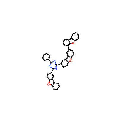 c1ccc(-c2nc(-c3ccc4oc5ccccc5c4c3)nc(-c3ccc4oc5ccc(-c6cccc7c6oc6ccccc67)cc5c4c3)n2)cc1